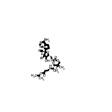 CC(C)OC(=O)CCNC(=O)[C@@H]1OP(=O)(OC[C@H]2O[C@@](C#N)(c3ccc4c(N)ncnn34)[C@@](F)(Br)C2O)OCC1(C)C